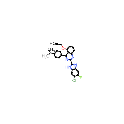 C#CCOc1cccc2nc(-c3nc4cc(F)c(Cl)cc4[nH]3)nc(-c3ccc(C(C)C)cc3)c12